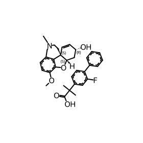 CC(C)(C(=O)O)c1ccc(-c2ccccc2)c(F)c1.COc1ccc2c3c1O[C@H]1C[C@@H](O)C=C[C@@]31CCN(C)C2